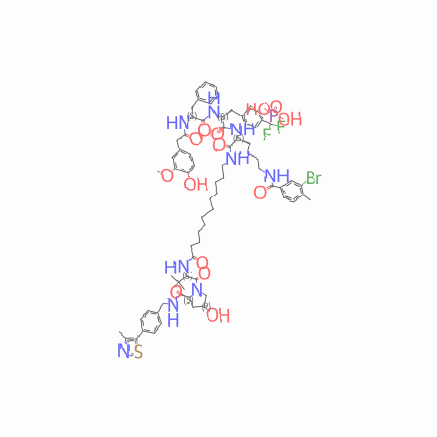 COc1cc(CC(=O)N[C@@H](Cc2ccccc2)C(=O)N[C@@H](Cc2ccc(C(F)(F)P(=O)(O)O)cc2)C(=O)N[C@@H](CCCCNC(=O)c2ccc(C)c(Br)c2)C(=O)NCCCCCCCCCCCC(=O)N[C@H](C(=O)N2C[C@H](O)C[C@H]2C(=O)NCc2ccc(-c3scnc3C)cc2)C(C)(C)C)ccc1O